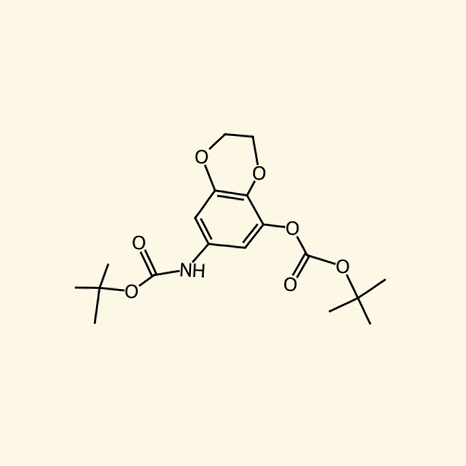 CC(C)(C)OC(=O)Nc1cc2c(c(OC(=O)OC(C)(C)C)c1)OCCO2